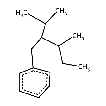 CCC(C)C(Cc1ccccc1)C(C)C